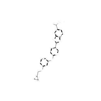 CC(=O)NC(C)c1ccc2oc(-c3ccc(Oc4cccc(OCC5CC5)c4)nc3)nc2c1